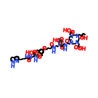 CC=C(O)CN1CCN(CC(=O)O)CCN(CC(=O)N[C@@H](CS(=O)(=O)O)C(=O)NCCNC(=O)CCCOc2cc(C)c(S(=O)(=O)NC(CNC(=O)CCCCc3ccc4c(n3)NCCC4)C(=O)O)c(C)c2)CCN(CC(=O)O)CC1